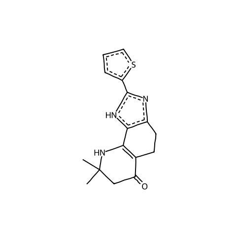 CC1(C)CC(=O)C2=C(N1)c1[nH]c(-c3cccs3)nc1CC2